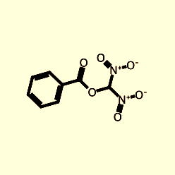 O=C(OC([N+](=O)[O-])[N+](=O)[O-])c1ccccc1